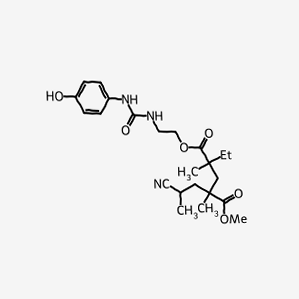 CCC(C)(CC(C)(CC(C)C#N)C(=O)OC)C(=O)OCCNC(=O)Nc1ccc(O)cc1